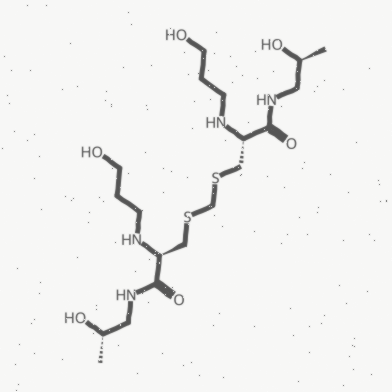 C[C@H](O)CNC(=O)[C@H](CSCSC[C@H](NCCCO)C(=O)NC[C@H](C)O)NCCCO